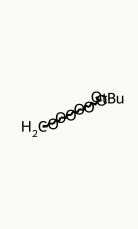 C=CCOCCOCCOCCOCCOCCC(=O)OC(C)(C)C